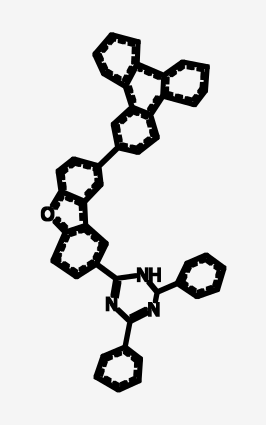 c1ccc(C2=NC(c3ccccc3)NC(c3ccc4oc5ccc(-c6ccc7c8ccccc8c8ccccc8c7c6)cc5c4c3)=N2)cc1